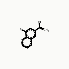 C=C(O)c1cc(F)c2ncccc2c1